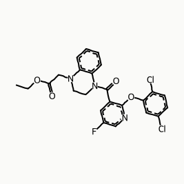 CCOC(=O)CN1CCN(C(=O)c2cc(F)cnc2Oc2cc(Cl)ccc2Cl)c2ccccc21